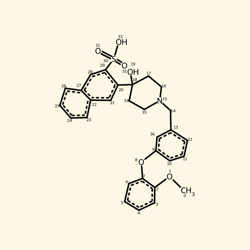 COc1ccccc1Oc1cccc(CN2CCC(O)(c3cc4ccccc4cc3S(=O)(=O)O)CC2)c1